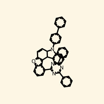 C1=CC2C(c3ccccc3N2c2ccc(-c3ccccc3)cc2)c2c1oc1cccc(-c3nc(-c4ccccc4)nc(-c4ccccc4)n3)c21